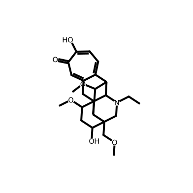 CCN1CC2(COC)C(O)CC(OC)C34Cc5cc(=O)c(O)ccc5C(C(OC)C23)C14